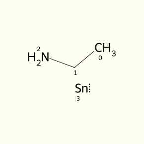 CCN.[Sn]